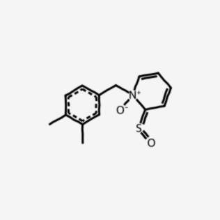 Cc1ccc(C[N+]2([O-])C=CC=CC2=S=O)cc1C